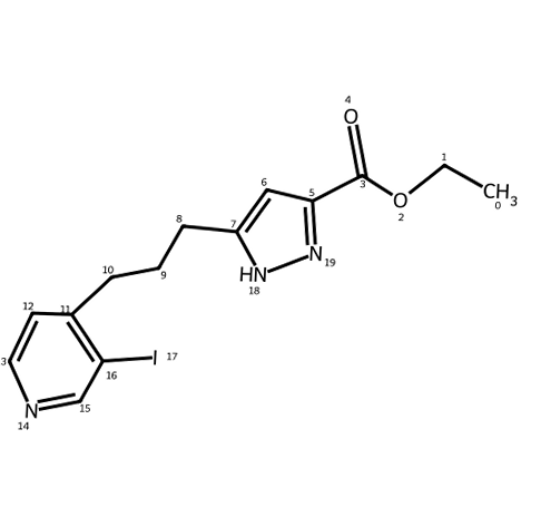 CCOC(=O)c1cc(CCCc2ccncc2I)[nH]n1